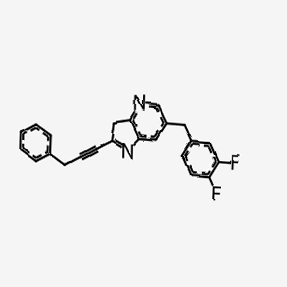 Fc1ccc(Cc2cnc3c(c2)N=C(C#CCc2ccccc2)C3)cc1F